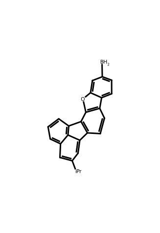 Bc1ccc2c(c1)oc1c3c(ccc12)-c1cc(C(C)C)cc2cccc-3c12